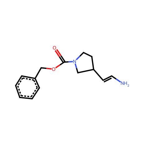 N/C=C/C1CCN(C(=O)OCc2ccccc2)C1